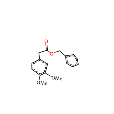 COc1ccc(CC(=O)OCc2ccccc2)cc1OC